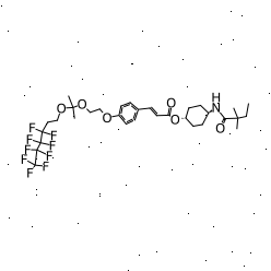 CCC(C)(C)C(=O)N[C@H]1CC[C@H](OC(=O)/C=C/c2ccc(OCCOC(C)(C)OCCC(F)(F)C(F)(F)C(F)(F)C(F)(F)F)cc2)CC1